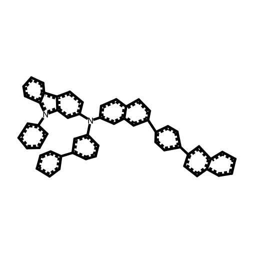 c1ccc(-c2cccc(N(c3ccc4ccc(-c5ccc(-c6ccc7ccccc7c6)cc5)cc4c3)c3ccc4c5ccccc5n(-c5ccccc5)c4c3)c2)cc1